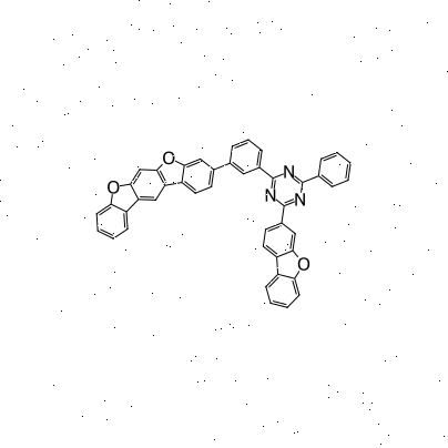 c1ccc(-c2nc(-c3cccc(-c4ccc5c(c4)oc4cc6oc7ccccc7c6cc45)c3)nc(-c3ccc4c(c3)oc3ccccc34)n2)cc1